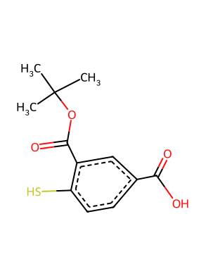 CC(C)(C)OC(=O)c1cc(C(=O)O)ccc1S